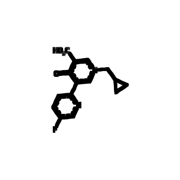 O=C(O)c1cn(CC2CC2)cc(-c2ccc(F)cn2)c1=O